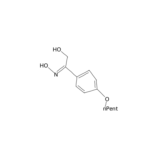 CCCCCOc1ccc(C(CO)=NO)cc1